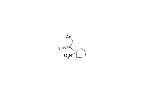 CC(=O)CC(=[N+]=[N-])C1([N+](=O)[O-])CCCC1